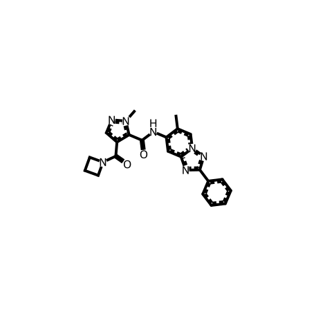 Cc1cn2nc(-c3ccccc3)nc2cc1NC(=O)c1c(C(=O)N2CCC2)cnn1C